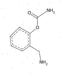 NCc1ccccc1OC(N)=O